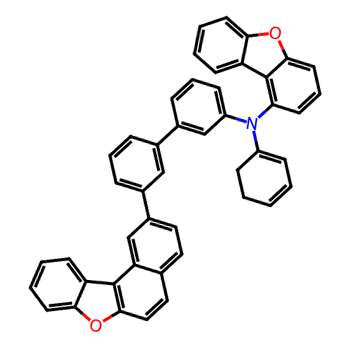 C1=CCCC(N(c2cccc(-c3cccc(-c4ccc5ccc6oc7ccccc7c6c5c4)c3)c2)c2cccc3oc4ccccc4c23)=C1